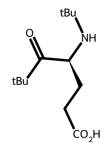 CC(C)(C)N[C@@H](CCC(=O)O)C(=O)C(C)(C)C